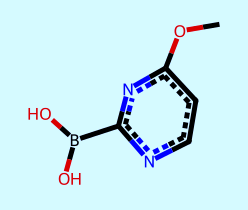 COc1ccnc(B(O)O)n1